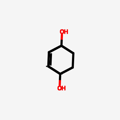 O[C]1[C]=CC(O)CC1